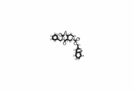 Cn1c2c(c(=O)n(Cc3ccccc3)c1=O)CN(C(=O)OCc1cc3ccccc3s1)CC2